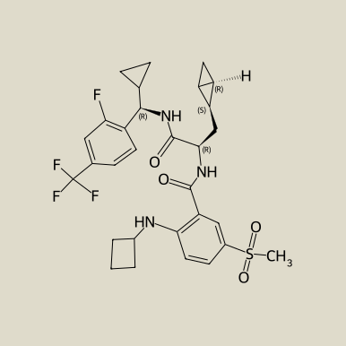 CS(=O)(=O)c1ccc(NC2CCC2)c(C(=O)N[C@H](C[C@H]2C3C[C@H]32)C(=O)N[C@@H](c2ccc(C(F)(F)F)cc2F)C2CC2)c1